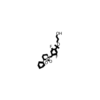 CC(C)(OCCCO)c1cc(F)c(CN2CCC[C@H](c3ccccc3)S2(=O)=O)cc1F